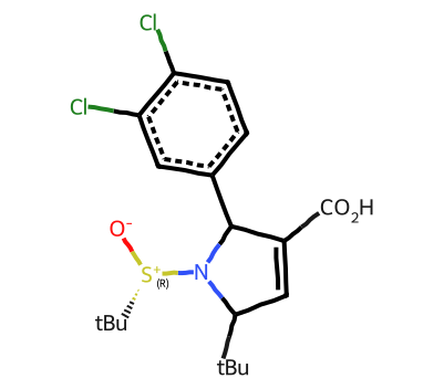 CC(C)(C)C1C=C(C(=O)O)C(c2ccc(Cl)c(Cl)c2)N1[S@@+]([O-])C(C)(C)C